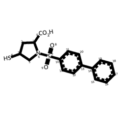 O=C(O)C1CC(S)CN1S(=O)(=O)c1ccc(-c2ccccc2)cc1